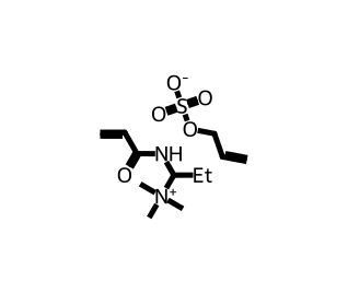 C=CC(=O)NC(CC)[N+](C)(C)C.C=CCOS(=O)(=O)[O-]